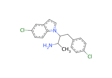 CC(N)C(Cc1ccc(Cl)cc1)n1ccc2cc(Cl)ccc21